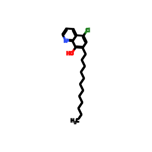 CCCCCCCCCCCCc1cc(Cl)c2cccnc2c1O